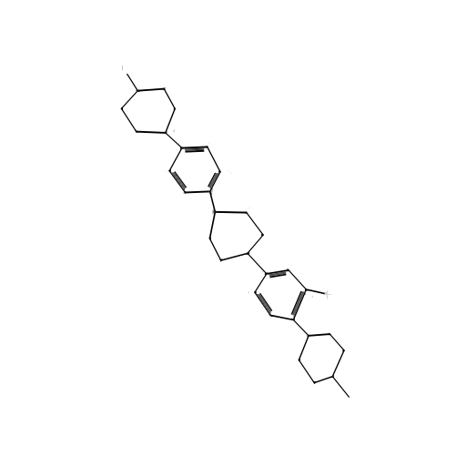 CCC1CCC(c2ccc(C3CCC(c4ccc(C5CCC(C)CC5)c(F)c4)CC3)cc2)CC1